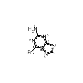 CC(C)c1nc(N)nc2scnc12